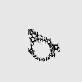 CC(C)C[C@H]1NC(=O)c2cc(-c3nnn[nH]3)ccc2OCc2cn(nn2)CCCCCCCCNC(=O)[C@H](Cc2ccccc2)N(C)C(=O)[C@H]2CCCN2C1=O